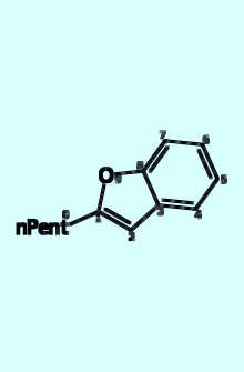 [CH2]CCCCc1cc2ccccc2o1